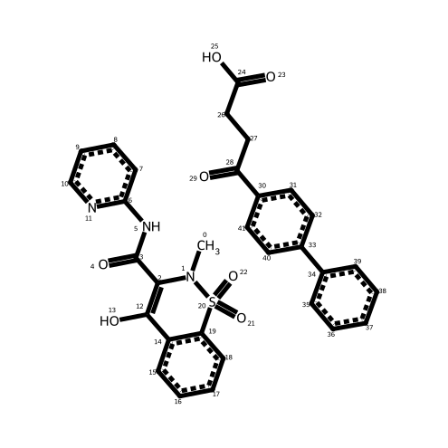 CN1C(C(=O)Nc2ccccn2)=C(O)c2ccccc2S1(=O)=O.O=C(O)CCC(=O)c1ccc(-c2ccccc2)cc1